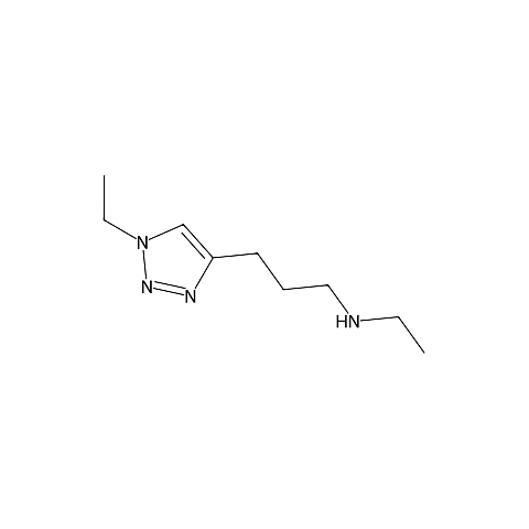 CCNCCCc1cn(CC)nn1